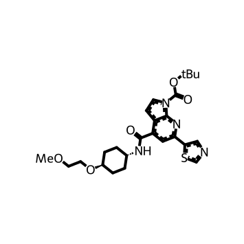 COCCO[C@H]1CC[C@H](NC(=O)c2cc(-c3cncs3)nc3c2ccn3C(=O)OC(C)(C)C)CC1